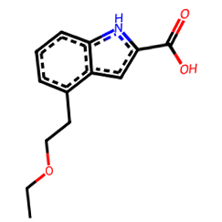 CCOCCc1cccc2[nH]c(C(=O)O)cc12